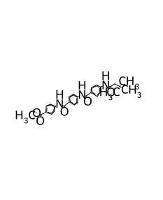 COC(=O)c1ccc(NC(=O)c2ccc(NC(=O)c3ccc(NC(=O)CC(C)(C)C)cc3)cc2)cc1